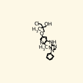 Cc1ncc(OCC(C)(CO)CCl)cc1Nc1ncn(-c2ccccc2)n1